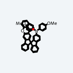 COc1ccc(N(c2ccc(OC)cc2)c2ccc3c(c2)C2(c4ccccc4-3)c3ccccc3-c3cc4oc5ccccc5c(=O)c4cc32)cc1